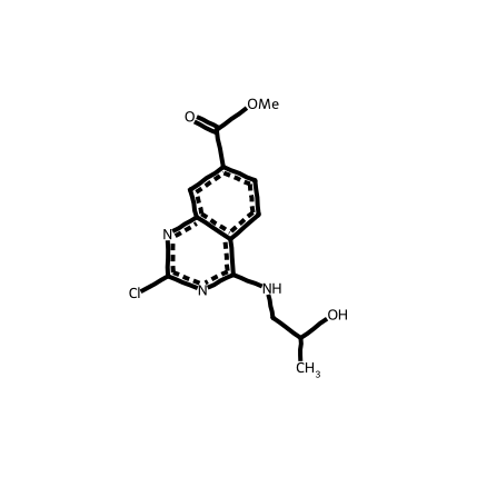 COC(=O)c1ccc2c(NCC(C)O)nc(Cl)nc2c1